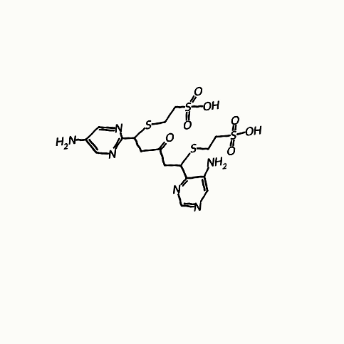 Nc1cnc(C(CC(=O)CC(SCCS(=O)(=O)O)c2ncncc2N)SCCS(=O)(=O)O)nc1